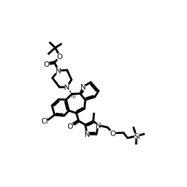 Cc1c(C(=O)C2=Cc3cccnc3[C@@H](N3CCN(C(=O)OC(C)(C)C)CC3)c3ccc(Cl)cc32)ncn1COCC[Si](C)(C)C